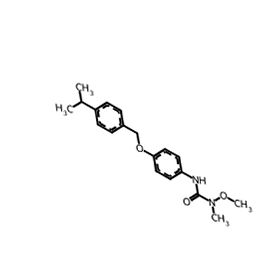 CON(C)C(=O)Nc1ccc(OCc2ccc(C(C)C)cc2)cc1